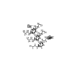 CCCCn1cc[n+](CCCC)c1.CCCCn1cc[n+](CCCC)c1.CCCCn1cc[n+](CCCC)c1.[Br-].[Br-].[Br-]